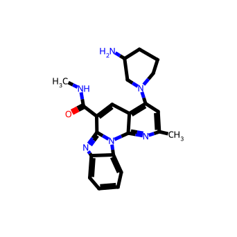 CNC(=O)c1cc2c(N3CCCC(N)C3)cc(C)nc2n2c1nc1ccccc12